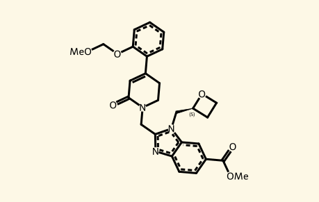 COCOc1ccccc1C1=CC(=O)N(Cc2nc3ccc(C(=O)OC)cc3n2C[C@@H]2CCO2)CC1